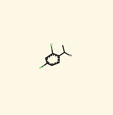 CC(C)C(C)c1ccc(F)cc1Cl